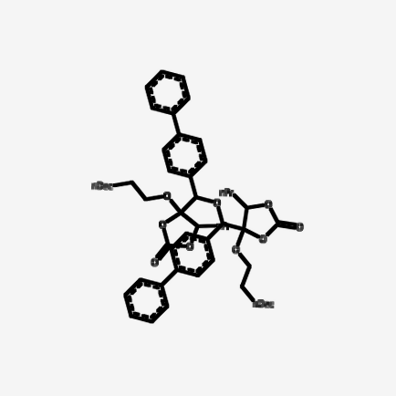 CCCCCCCCCCCCOC1(C(OC(c2ccc(-c3ccccc3)cc2)C2(OCCCCCCCCCCCC)OC(=O)OC2CCC)c2ccc(-c3ccccc3)cc2)OC(=O)OC1CCC